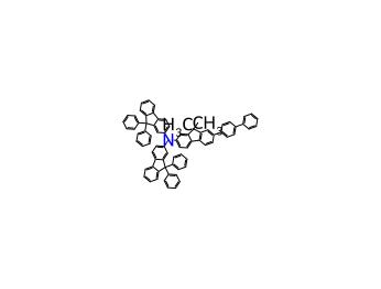 CC1(C)c2cc(-c3ccc(-c4ccccc4)cc3)ccc2-c2ccc(N(c3ccc4c(c3)C(c3ccccc3)(c3ccccc3)c3ccccc3-4)c3ccc4c(c3)C(c3ccccc3)(c3ccccc3)c3ccccc3-4)cc21